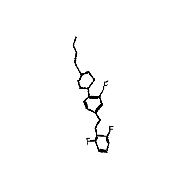 CCCCC1CCC(c2ccc(CCc3c(F)cccc3F)cc2F)CC1